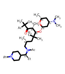 CC[C@@H](C1CCN(C(C)C)CC1)N(C[C@H](C)CC(C)(C)[C@H](O[C@H]1C[C@@H](N(C)C)C[C@@H](C)O1)[C@@H](C)C(=O)C(C)(C)C(C)=O)C(C)=O